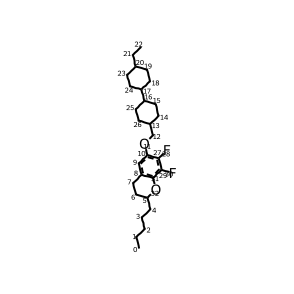 CCCCCC1CCc2cc(OCC3CCC(C4CCC(CC)CC4)CC3)c(F)c(F)c2O1